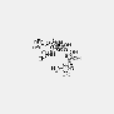 CCCC(CCC)COC(=O)C(C)NP(=O)(OCCNC(=O)CCl)OP(=O)(O)OC[C@H]1O[C@@H](n2cnc3c(=O)[nH]c(N)nc32)[C@H](O)[C@@H]1O